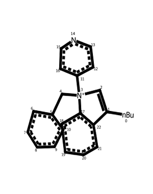 [CH2]CCCC1=C[N+](Cc2ccccc2)(c2ccncc2)c2ccccc21